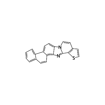 c1ccc2c(c1)ccc1c2ccc2c1nc1c3sccc3ccn21